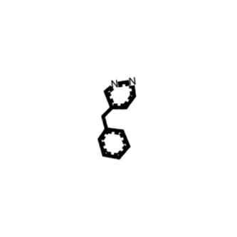 c1ccc(Cc2ccnnc2)cc1